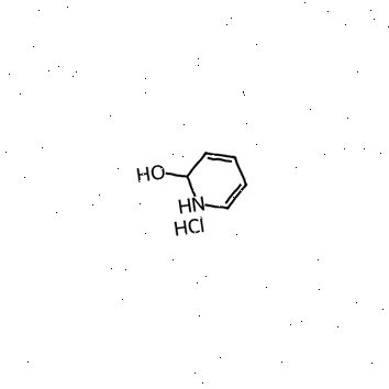 Cl.OC1C=CC=CN1